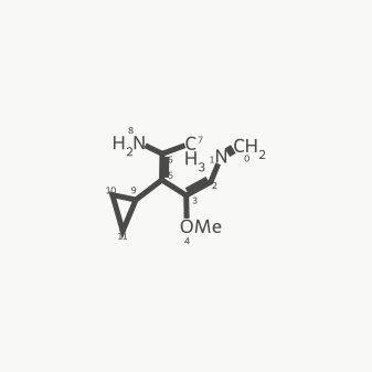 C=N/C=C(OC)\C(=C(/C)N)C1CC1